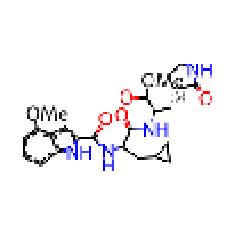 COC(=O)C(C[C@@H]1CCNC1=O)NC(=O)C(CC1CC1)NC(=O)c1cc2c(OC)cccc2[nH]1